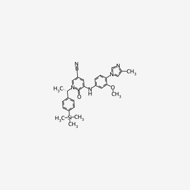 COc1cc(Nc2cc(C#N)cn([C@@H](C)c3ccc([Si](C)(C)C)cc3)c2=O)ccc1-n1cnc(C)c1